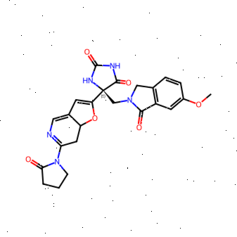 COc1ccc2c(c1)C(=O)N(C[C@@]1(C3=CC4=CN=C(N5CCCC5=O)CC4O3)NC(=O)NC1=O)C2